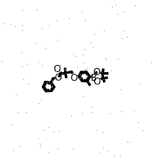 Cc1cc(OCC(C)(C)C(=O)OCc2ccccc2)ccc1B1OC(C)(C)C(C)(C)O1